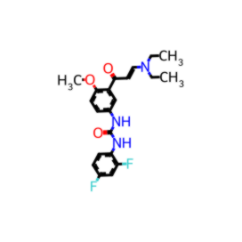 CCN(C=CC(=O)c1cc(NC(=O)Nc2ccc(F)cc2F)ccc1OC)CC